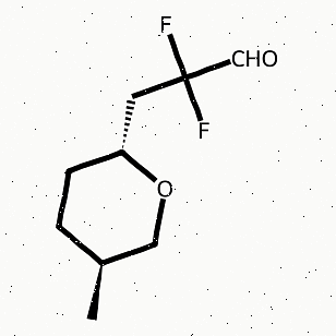 C[C@H]1CC[C@H](CC(F)(F)C=O)OC1